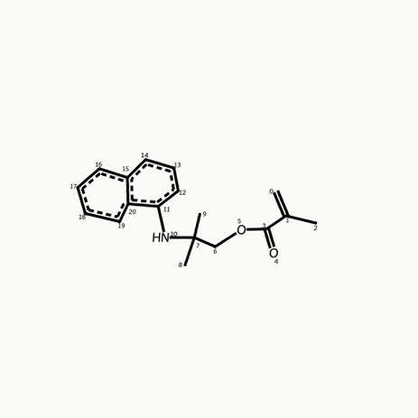 C=C(C)C(=O)OCC(C)(C)Nc1cccc2ccccc12